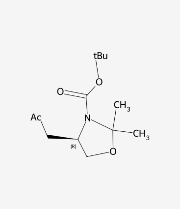 CC(=O)C[C@@H]1COC(C)(C)N1C(=O)OC(C)(C)C